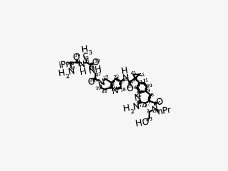 CCCN(CCO)C(=O)C1=Cc2ccc(C3(C(=O)Nc4cnc5c(c4)CN(C(=O)CNC(=O)[C@H](C)NC(=O)[C@@H](N)C(C)C)CC5)CC3)cc2N=C(N)C1